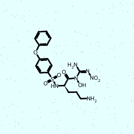 NCCC[C@@H](NS(=O)(=O)c1ccc(Oc2ccccc2)cc1)C(=O)N(O)/C(N)=N\[N+](=O)[O-]